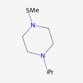 CSN1CCN(C(C)C)CC1